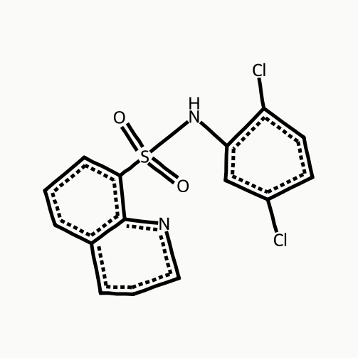 O=S(=O)(Nc1cc(Cl)ccc1Cl)c1cccc2cccnc12